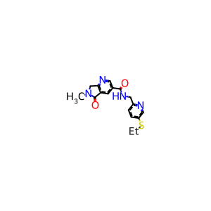 CCSc1ccc(CNC(=O)c2cnc3c(c2)C(=O)N(C)C3)nc1